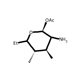 CCC1O[C@@H](OC(C)=O)C(N)[C@@H](C)[C@@H]1C